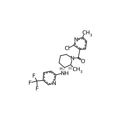 Cc1ccc(C(=O)N2CCC[C@@H](Nc3ccc(C(F)(F)F)cn3)[C@@H]2C)c(Cl)n1